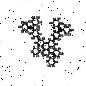 C1=CCCC(c2cc(-c3ccccc3)c(-c3ccccc3)c3c4ccc(-c5ccc(N(c6ccccc6)c6ccccc6)cc5)cc4c4cc(-c5ccc(N(c6ccccc6)c6ccccc6)cc5)ccc4c23)=C1